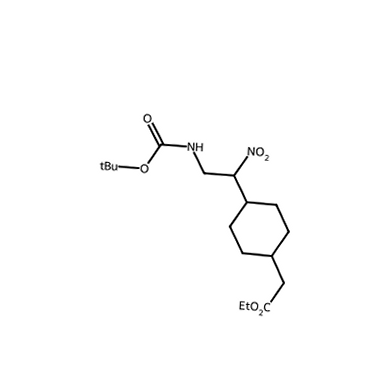 CCOC(=O)CC1CCC(C(CNC(=O)OC(C)(C)C)[N+](=O)[O-])CC1